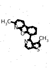 Cc1ccc2c(n1)oc1c(-c3nccc4scc(C)c34)cccc12